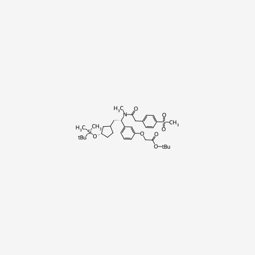 CN(C(=O)Cc1ccc(S(C)(=O)=O)cc1)[C@@H](CC1CC[C@H](O[Si](C)(C)C(C)(C)C)C1)c1cccc(OCC(=O)OC(C)(C)C)c1